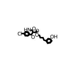 O=C1Nc2cc(Cl)ccc2C(=O)C1C(=O)OCCCCc1cccc(O)c1